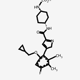 Cc1c(F)cc(OCC2CC2)c(C2=CC(C(=O)N[C@H]3CC[C@H](NC(=O)O)CC3)=NC2)c1C